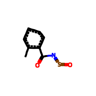 Cc1ccccc1C(=O)N=S=O